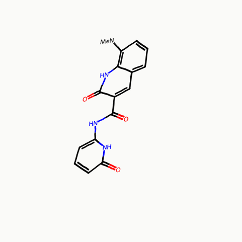 CNc1cccc2cc(C(=O)Nc3cccc(=O)[nH]3)c(=O)[nH]c12